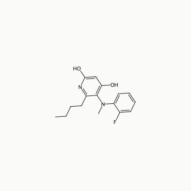 CCCCc1nc(O)[c]c(O)c1N(C)c1ccccc1F